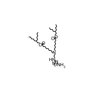 CCCCCC(CCCCC)CCOC(=O)CCCCCCCN(CCCCCCCC(=O)OCCC(CCCC)CCCC)CCCNc1noc(N)n1